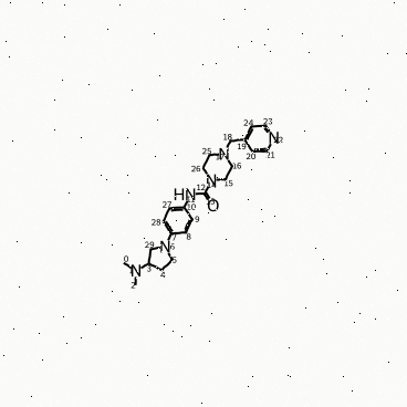 CN(C)C1CCN(c2ccc(NC(=O)N3CCN(Cc4ccncc4)CC3)cc2)C1